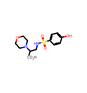 O=C(O)C(CNS(=O)(=O)c1ccc(O)cc1)N1CCOCC1